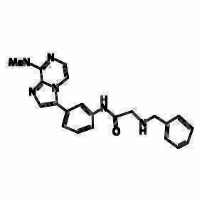 CNc1nccn2c(-c3cccc(NC(=O)CNCc4ccccc4)c3)cnc12